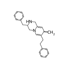 C=C1C=C2CNC(Cc3ccccc3)CN2C=C1CCc1ccccc1